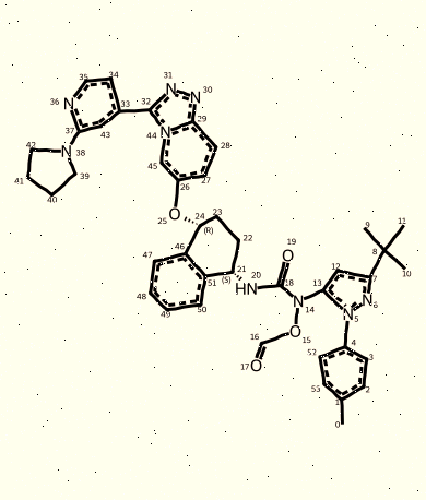 Cc1ccc(-n2nc(C(C)(C)C)cc2N(OC=O)C(=O)N[C@H]2CC[C@@H](Oc3ccc4nnc(-c5ccnc(N6CCCC6)c5)n4c3)c3ccccc32)cc1